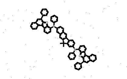 CC1(C)c2cc(N(c3ccccc3)c3cccc4c3oc3c(-c5ccccc5)cc5ccccc5c34)ccc2-c2cc3ccc(N(c4ccccc4)c4cccc5c4oc4c(-c6ccccc6)cc6ccccc6c45)cc3cc21